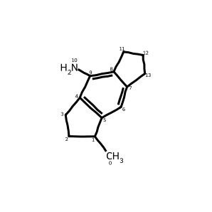 CC1CCc2c1cc1c(c2N)CCC1